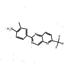 Cc1cc(-c2ncc3nc(C(F)(F)F)ccc3n2)ccc1N